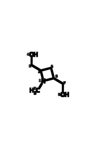 CN1C(CO)CC1CO